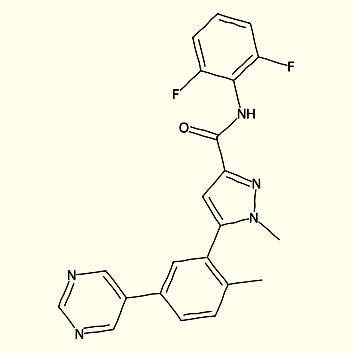 Cc1ccc(-c2cncnc2)cc1-c1cc(C(=O)Nc2c(F)cccc2F)nn1C